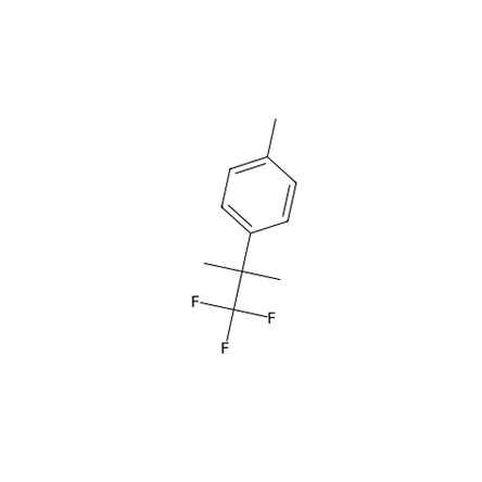 Cc1ccc(C(C)(C)C(F)(F)F)cc1